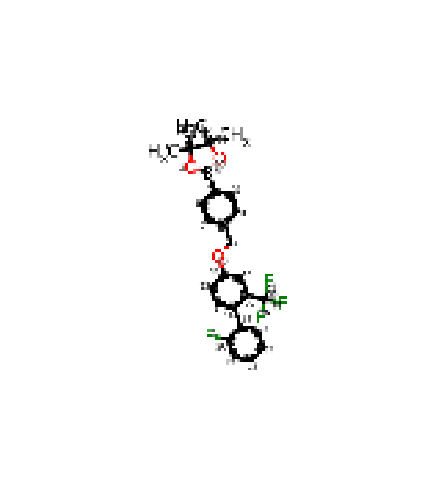 CC1(C)OB(c2ccc(COc3ccc(-c4ccccc4F)c(C(F)(F)F)c3)cc2)OC1(C)C